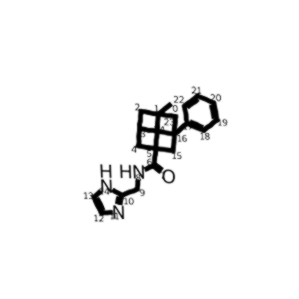 CC12CC3CC4(C(=O)NCc5ncc[nH]5)CC(c5ccccc5)(C1)C324